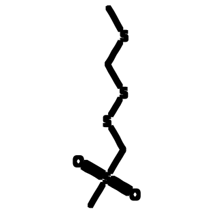 CSCSSCS(C)(=O)=O